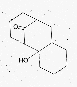 O=C1C2CCCC1C1(O)CCCCC1C2